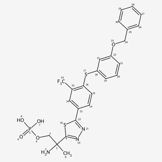 CC(N)(COP(=O)(O)O)c1nnc(-c2ccc(Sc3cccc(OCc4ccccc4)c3)c(C(F)(F)F)c2)s1